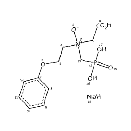 O=C(O)C[N+]([O-])(CCOc1ccccc1)CP(=O)(O)O.[NaH]